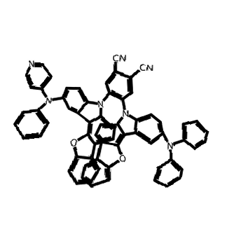 N#Cc1cc(-n2c3ccc(N(c4ccccc4)c4ccccc4)cc3c3c4oc5ccccc5c4ccc32)c(-n2c3ccc(N(c4ccccc4)c4ccncc4)cc3c3c4oc5ccccc5c4ccc32)cc1C#N